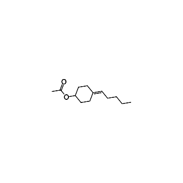 CCCCC=C1CCC(OC(C)=O)CC1